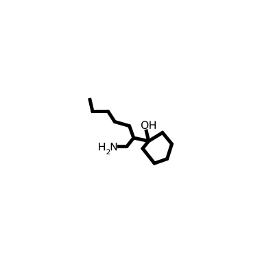 CCCCCC(CN)C1(O)CCCCC1